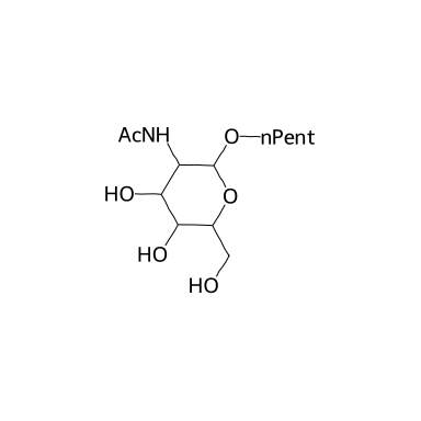 CCCCCOC1OC(CO)C(O)C(O)C1NC(C)=O